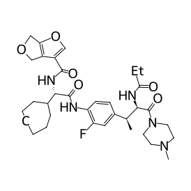 CCC(=O)N[C@@H](C(=O)N1CCN(C)CC1)[C@@H](C)c1ccc(NC(=O)[C@@H](NC(=O)c2coc3c2COC3)C2CCCCCC2)c(F)c1